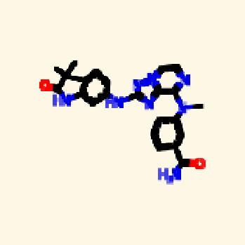 CN(c1cccc(C(N)=O)c1)c1nccn2nc(Nc3ccc4c(c3)NC(=O)C4(C)C)nc12